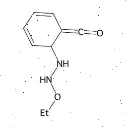 CCONNC1C=CC=CC1=C=O